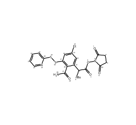 CCCCC(C(=O)ON1C(=O)CCC1=O)c1cc(CC)cc(SSc2ccccn2)c1C(N)=O